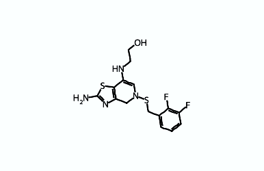 Nc1nc2c(s1)C(NCCO)=CN(SCc1cccc(F)c1F)C2